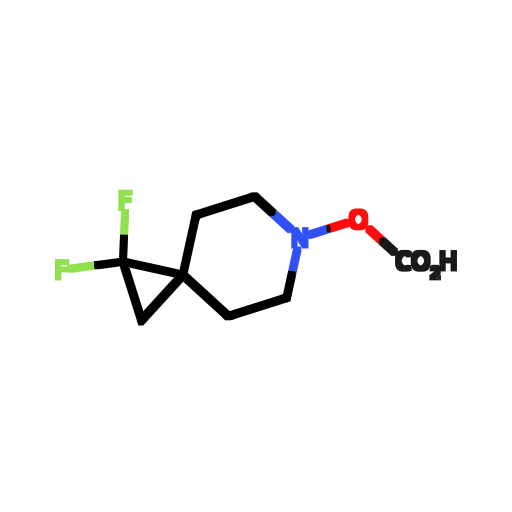 O=C(O)ON1CCC2(CC1)CC2(F)F